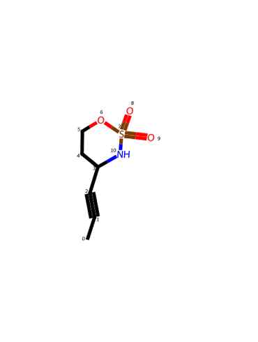 CC#CC1CCOS(=O)(=O)N1